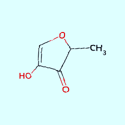 CC1OC=C(O)C1=O